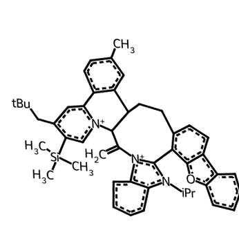 C=C1C2C(CCc3ccc4c(oc5ccccc54)c3-c3n(C(C)C)c4ccccc4[n+]31)c1cc(C)ccc1-c1cc(CC(C)(C)C)c([Si](C)(C)C)c[n+]12